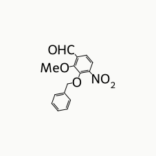 COc1c(C=O)ccc([N+](=O)[O-])c1OCc1ccccc1